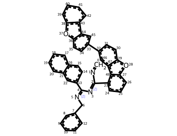 C=N/C(=N\C(=N/Cc1ccccc1)c1ccc2ccccc2c1)c1cccc2oc3ccc(-c4ccc5oc6ccccc6c5c4)cc3c12